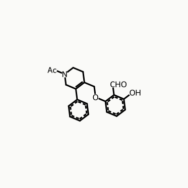 CC(=O)N1CCC(COc2cccc(O)c2C=O)=C(c2ccccc2)C1